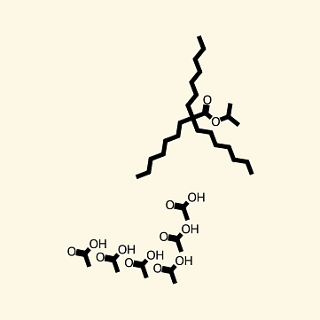 CC(=O)O.CC(=O)O.CC(=O)O.CC(=O)O.CC(=O)O.CC(=O)O.CCCCCCCC(CCCCCCC)(CCCCCCC)C(=O)OC(C)C